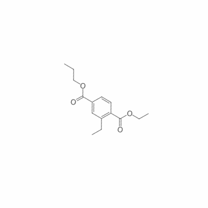 CCCOC(=O)c1ccc(C(=O)OCC)c(CC)c1